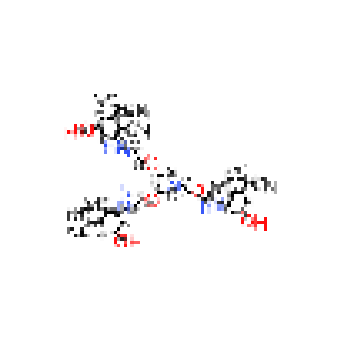 N#CC(C#N)=C1CC(O)CC(NCCOCCN(CCOCCNC2=C(C#N)C(=C(C#N)C#N)CC(O)C2)CCOCCNC2=C(C#N)C(=C(C#N)C#N)CC(O)C2)=C1C#N